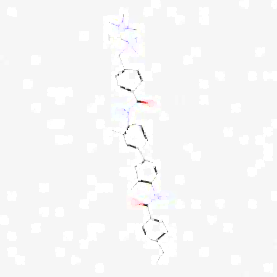 CCc1ccc(C(=O)Nc2ccc(-c3ccc(NC(=O)c4ccc(C[N+](C)(C)B[N+](C)(C)C)cc4)c(C)c3)cc2C)cc1